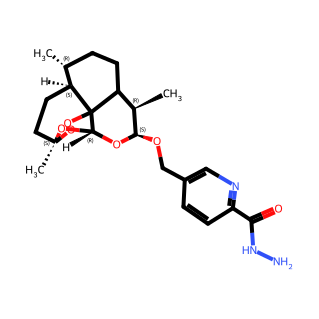 C[C@@H]1CCC2[C@@H](C)[C@@H](OCc3ccc(C(=O)NN)nc3)O[C@@H]3O[C@]4(C)CC[C@@H]1C23OO4